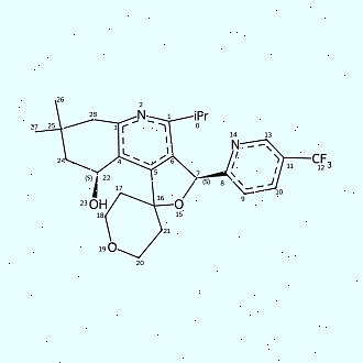 CC(C)c1nc2c(c3c1[C@@H](c1ccc(C(F)(F)F)cn1)OC31CCOCC1)[C@@H](O)CC(C)(C)C2